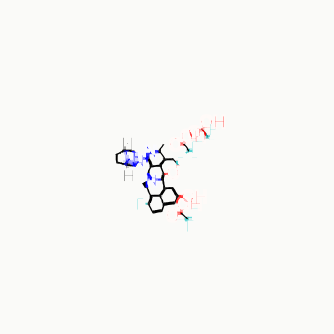 C#Cc1c(F)ccc2cc(O)cc(-c3ncc4c(N5C[C@H]6CC[C@@H](C5)N6)nc(C)c5c4c3OCC5)c12.O=C(O)C(F)(F)F.O=C(O)C(F)(F)F.O=C(O)C(F)(F)F